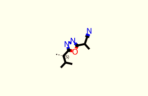 CC(C#N)c1nnc([C@@H](C)C(C)C)o1